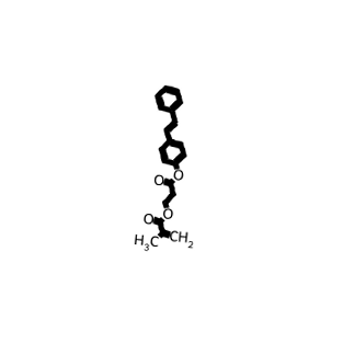 C=C(C)C(=O)OCCC(=O)Oc1ccc(C=Cc2ccccc2)cc1